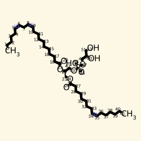 CCCCC/C=C\C/C=C\CCCCCCCCCC(=O)O[C@H](COC(=O)CCCCCCC/C=C\CCCCCC)COP(=O)(O)OC[C@@H](O)CO